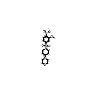 COc1cc(S(=O)(=O)N2CCC(N3CCOCC3)CC2)ccc1[N+](=O)[O-]